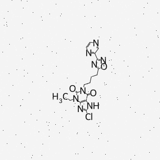 CCn1c(=O)n(CCCCc2nc(-c3cnccn3)no2)c(=O)c2[nH]c(Cl)nc21